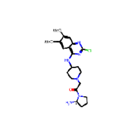 COc1cc2nc(Cl)nc(NC3CCN(CC(=O)N4CCC[C@H]4N)CC3)c2cc1OC